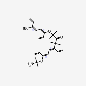 C=C/C(=C\C=C(/C=C)C(C)(C)C(=O)C(C)(C)O/C(C=C)=C/C=C(\C=C)C(C)(C)C)OC(C)(C)N